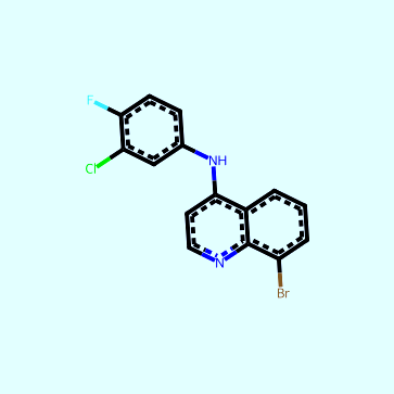 Fc1ccc(Nc2ccnc3c(Br)cccc23)cc1Cl